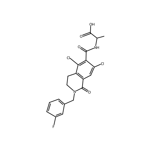 CC(NC(=O)c1c(Cl)cc2c(c1Cl)CCN(Cc1cccc(F)c1)C2=O)C(=O)O